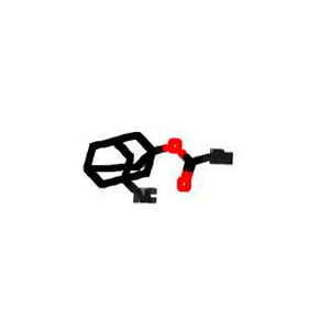 [C-]#[N+]C12CC3CC(C1)CC(OC(=O)C(C)CC)(C3)C2